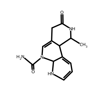 CC1NC(=O)CC2=CN(C(N)=O)C3NC=CC=C3C21